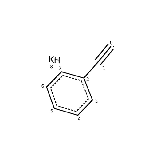 [C]#Cc1ccccc1.[KH]